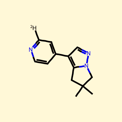 [2H]c1cc(-c2cnn3c2CC(C)(C)C3)ccn1